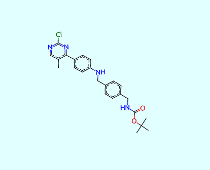 Cc1cnc(Cl)nc1-c1ccc(NCc2ccc(CNC(=O)OC(C)(C)C)cc2)cc1